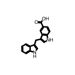 O=C(O)c1ccc2[nH]cc(Cc3c[nH]c4ccccc34)c2c1